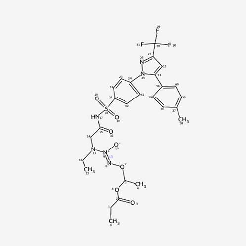 CCC(=O)OC(C)O/N=[N+](\[O-])N(CC)CC(=O)NS(=O)(=O)c1ccc(-n2nc(C(F)(F)F)cc2-c2ccc(C)cc2)cc1